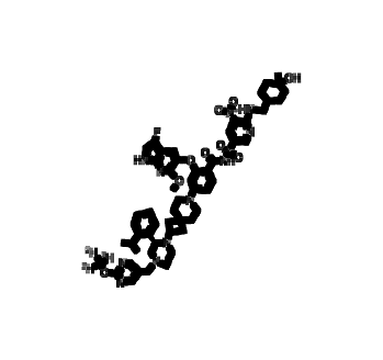 [2H]C([2H])([2H])Oc1ncc(CN2CCN(C3CC4(CCN(c5ccc(C(=O)NS(=O)(=O)c6cnc(NCC7CCC(C)(O)CC7)c([N+](=O)[O-])c6)c(Oc6cc7c(F)c[nH]c7nc6OC)c5)CC4)C3)[C@H](c3ccccc3C(C)C)C2)cn1